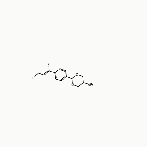 CCCC1COC(c2ccc(/C(F)=C/CF)cc2)OC1